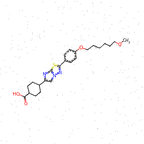 COCCCCCCOc1ccc(-c2nn3cc(C4CCC(C(=O)O)CC4)nc3s2)cc1